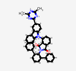 Cc1nc(C)nc(-c2ccc3c(c2)c2ccccc2n3-c2cccc3c2C(=O)N(c2c(-c4ccccc4)cccc2-c2ccccc2)C3=O)n1